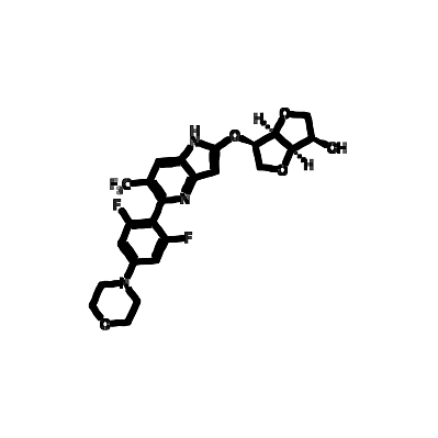 O[C@@H]1CO[C@H]2[C@@H]1OC[C@H]2Oc1cc2nc(-c3c(F)cc(N4CCOCC4)cc3F)c(C(F)(F)F)cc2[nH]1